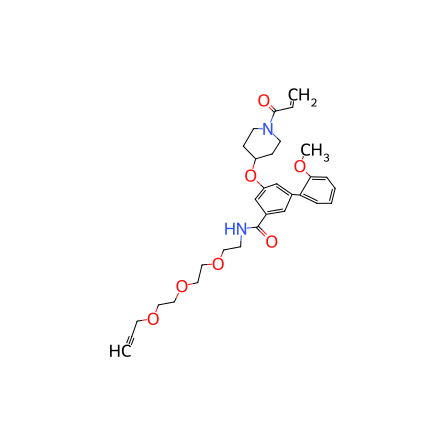 C#CCOCCOCCOCCNC(=O)c1cc(OC2CCN(C(=O)C=C)CC2)cc(-c2ccccc2OC)c1